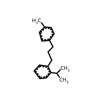 Cc1ccc(CCCc2ccccc2C(C)C)cc1